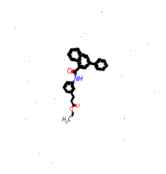 CCOC(=O)CCc1cccc(NC(=O)c2cc(-c3ccccc3)cc3ccccc23)c1